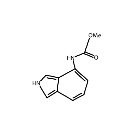 COC(=O)Nc1cccc2c[nH]cc12